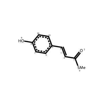 CSC(=O)/C=C/c1ccc(O)cc1